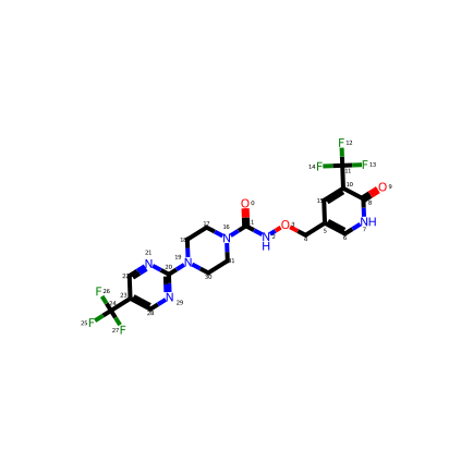 O=C(NOCc1c[nH]c(=O)c(C(F)(F)F)c1)N1CCN(c2ncc(C(F)(F)F)cn2)CC1